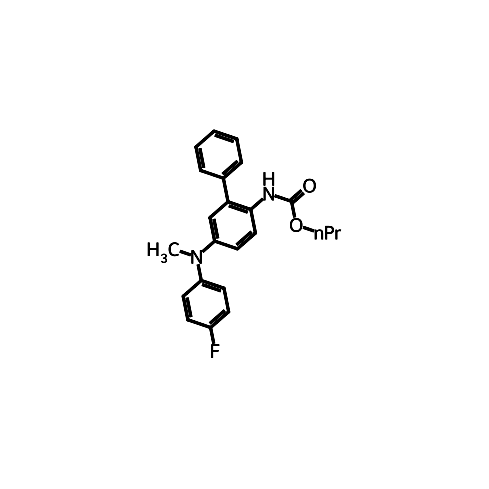 CCCOC(=O)Nc1ccc(N(C)c2ccc(F)cc2)cc1-c1ccccc1